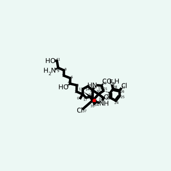 CC1(CC[C@@H](O)CCC[C@@H](N)CO)CCC2(CC1)N[C@@H](C(=O)O)[C@H](c1cccc(Cl)c1F)C21C(=O)Nc2cc(Cl)ccc21